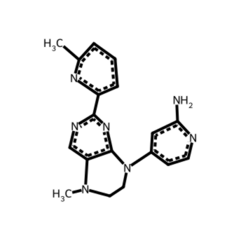 Cc1cccc(-c2ncc3c(n2)N(c2ccnc(N)c2)CCN3C)n1